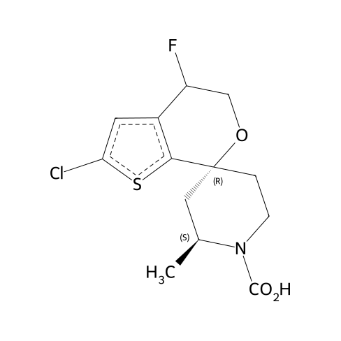 C[C@H]1C[C@@]2(CCN1C(=O)O)OCC(F)c1cc(Cl)sc12